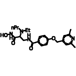 CCCN(CC)C(CNC(=O)c1ccc(OCc2cc(C)nc(C)c2)cc1)C(=O)NO